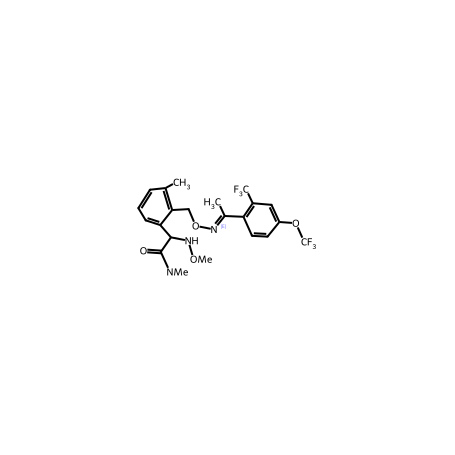 CNC(=O)C(NOC)c1cccc(C)c1CO/N=C(\C)c1ccc(OC(F)(F)F)cc1C(F)(F)F